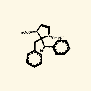 CCCCCCCCN1C=CN(CCCCCCC)C1(Cc1ccccc1)C(CC)c1ccccc1